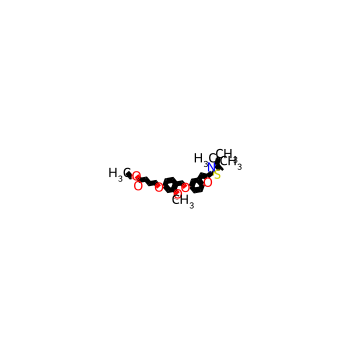 CCOC(=O)CCCOc1ccc(COc2ccc3oc(-c4nc(C(C)(C)C)cs4)cc3c2)c(OC)c1